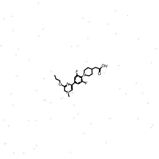 CCCOC1=NC(c2cc(F)c(N3CCC(CC(=O)O)CC3)c(F)c2)=CN(C)C1